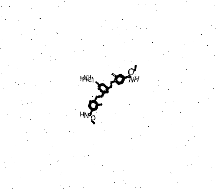 CCOC(=N)c1ccc(CCc2cc(C)cc(CCc3ccc(C(=N)OCC)cc3C)c2)c(C)c1.Cl.Cl